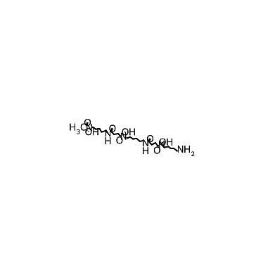 CC(=O)N(O)CCCCCNC(=O)CCC(=O)N(O)CCCCCCNC(=O)CCC(=O)N(O)CCCCCN